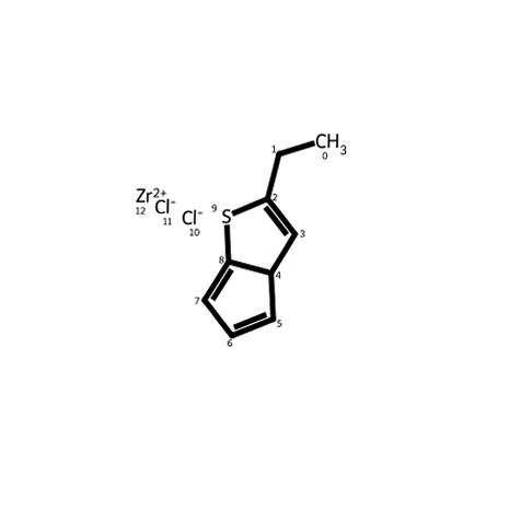 CCC1=CC2C=CC=C2S1.[Cl-].[Cl-].[Zr+2]